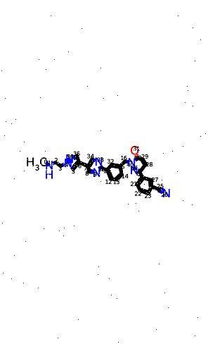 CNCCn1cc(-c2cnc(-c3cccc(Cn4nc(-c5cccc(C#N)c5)ccc4=O)c3)nc2)cn1